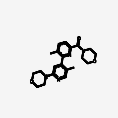 Cc1cnc(N2CCOCC2)cc1-c1nc(C(=O)N2CCOCC2)ccc1C